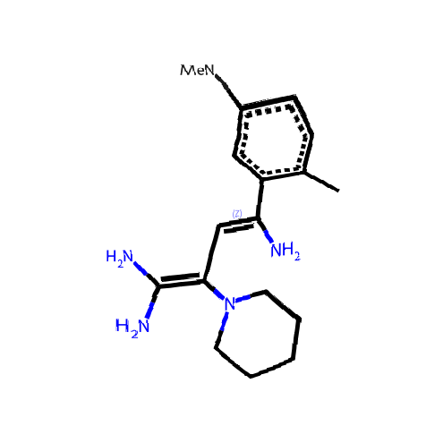 CNc1ccc(C)c(/C(N)=C/C(=C(N)N)N2CCCCC2)c1